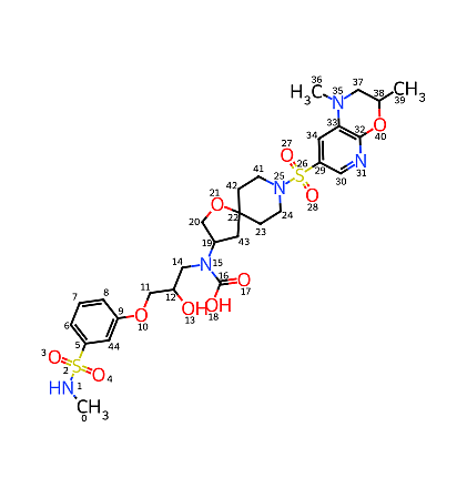 CNS(=O)(=O)c1cccc(OCC(O)CN(C(=O)O)C2COC3(CCN(S(=O)(=O)c4cnc5c(c4)N(C)CC(C)O5)CC3)C2)c1